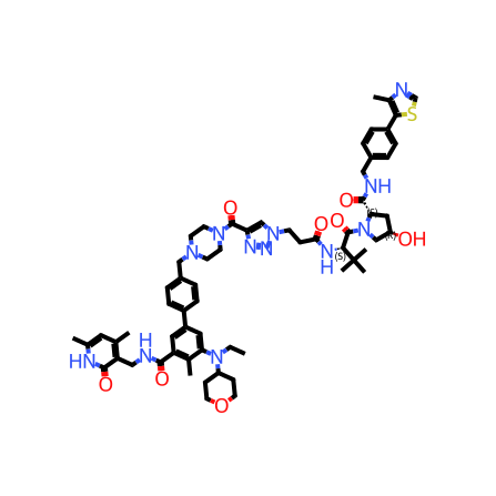 CCN(c1cc(-c2ccc(CN3CCN(C(=O)c4cn(CCC(=O)N[C@H](C(=O)N5C[C@H](O)C[C@H]5C(=O)NCc5ccc(-c6scnc6C)cc5)C(C)(C)C)nn4)CC3)cc2)cc(C(=O)NCc2c(C)cc(C)[nH]c2=O)c1C)C1CCOCC1